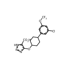 O=C(O)c1[nH]nnc1OC1CCC(c2cc(Cl)cc(OC(F)(F)F)c2)CC1